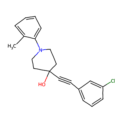 Cc1ccccc1N1CCC(O)(C#Cc2cccc(Cl)c2)CC1